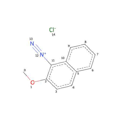 COc1ccc2ccccc2c1[N+]#N.[Cl-]